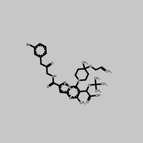 C=CCOC1(C)CCN(c2c(C(OC(C)(C)C)C(=O)O)c(C)nc3cc(C(=O)NCC(=O)Cc4cccc(Br)c4)nn23)CC1